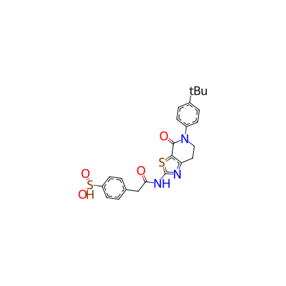 CC(C)(C)c1ccc(N2CCc3nc(NC(=O)Cc4ccc([SH](=O)=O)cc4)sc3C2=O)cc1